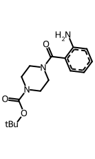 CC(C)(C)OC(=O)N1CCN(C(=O)c2ccccc2N)CC1